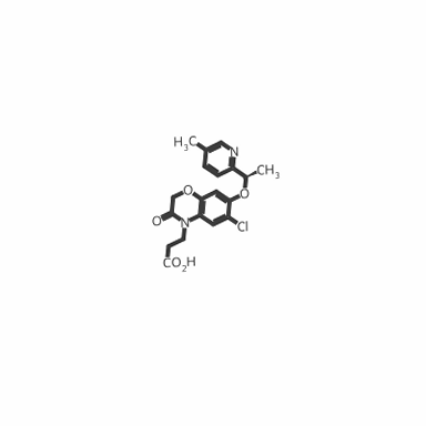 Cc1ccc([C@@H](C)Oc2cc3c(cc2Cl)N(CCC(=O)O)C(=O)CO3)nc1